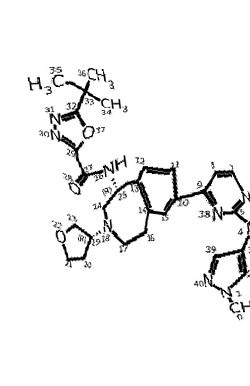 Cn1cc(Nc2nccc(-c3ccc4c(c3)CCN([C@@H]3CCOC3)C[C@@H]4NC(=O)c3nnc(C(C)(C)C)o3)n2)cn1